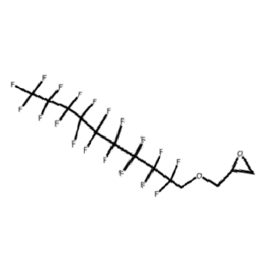 FC(F)(F)C(F)(F)C(F)(F)C(F)(F)C(F)(F)C(F)(F)C(F)(F)C(F)(F)C(F)(F)COCC1CO1